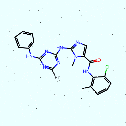 CCc1nc(Nc2ccccc2)nc(Nc2ncc(C(=O)Nc3c(C)cccc3Cl)n2C)n1